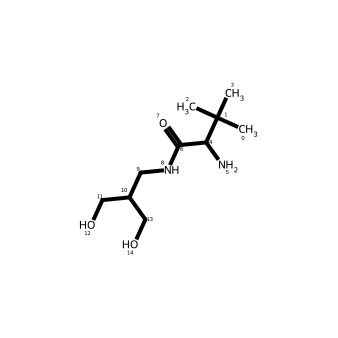 CC(C)(C)C(N)C(=O)NCC(CO)CO